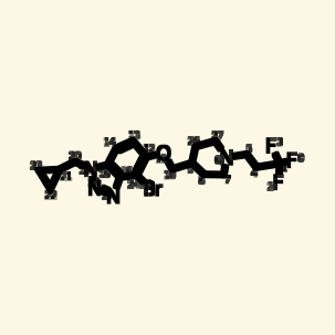 FC(F)(F)CCN1CCC(COc2ccc3c(nnn3CC3CC3)c2Br)CC1